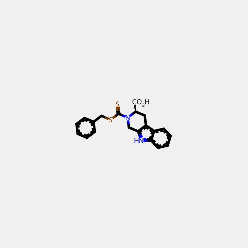 O=C(O)[C@H]1Cc2c([nH]c3ccccc23)CN1C(=S)SCc1ccccc1